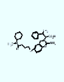 CC(c1ccccc1)C(C(=O)O)N1Cc2cc(OCCCC(=O)N(C)C3CCCCC3)ccc2N=C1N